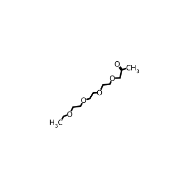 CCOCCOCCOCCOCC(C)=O